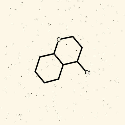 CCC1CCOC2CCCCC12